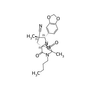 CCCCN1C(=O)[C@@]23C[C@](C)(C#N)[C@H](c4ccc5c(c4)OCO5)N2C(=O)C1(C)SS3